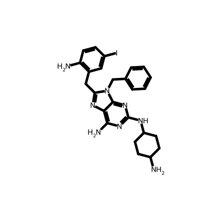 Nc1ccc(I)cc1Cc1nc2c(N)nc(NC3CCC(N)CC3)nc2n1Cc1ccccc1